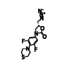 [N-]=[N+]=NC[C@H]1CN(c2cc(F)c(N3CCSCC3)c(F)c2)C(=O)O1